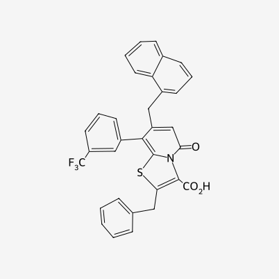 O=C(O)c1c(Cc2ccccc2)sc2c(-c3cccc(C(F)(F)F)c3)c(Cc3cccc4ccccc34)cc(=O)n12